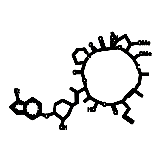 C=CCC1/C=C(\C)CC(C)CC(OC)C2OC(O)(C(=O)C(=O)N3CCCCC3C(=O)OC(C(C)=CC3CCC(Oc4ccc5c(ccn5CC)c4)C(O)C3)C(C)C(O)CC1=O)C(C)CC2OC